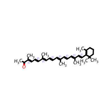 CC(=O)/C(C)=C/C=C/C(C)=C/C=C/C=C(C)/C=C/C=C(C)/C=C/C1=C(C)CCCC1(C)C